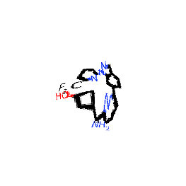 N[C@H](c1cccc(-c2ccc3cnn(-c4cccc(C(F)(F)F)n4)c3c2)n1)C1CC(O)C1